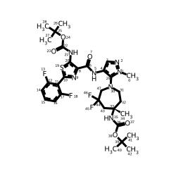 Cn1ncc(NC(=O)c2nc(-c3c(F)cccc3F)sc2NC(=O)OC(C)(C)C)c1N1CC[C@](C)(NC(=O)OC(C)(C)C)CC(F)(F)C1